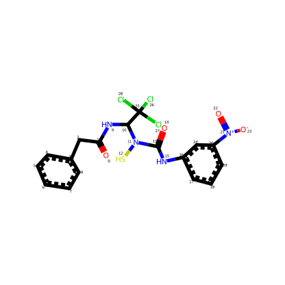 O=C(Cc1ccccc1)NC(N(S)C(=O)Nc1cccc([N+](=O)[O-])c1)C(Cl)(Cl)Cl